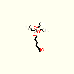 CCO[Si](CC)(OCC)OCCCCC1CO1